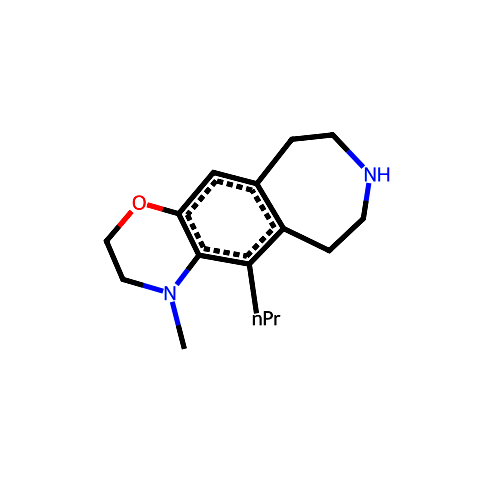 CCCc1c2c(cc3c1N(C)CCO3)CCNCC2